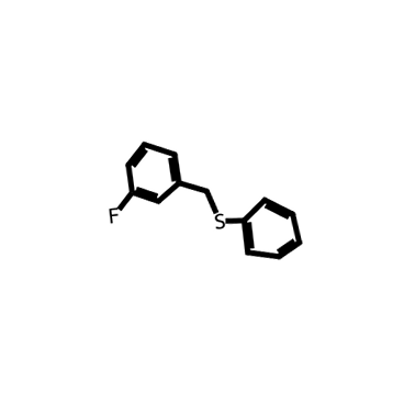 Fc1cccc(CSc2ccccc2)c1